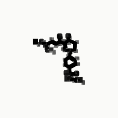 CNS(=O)(=O)c1ccc(-n2ccc(=O)c(C(=O)C=CN(C)C)n2)cc1